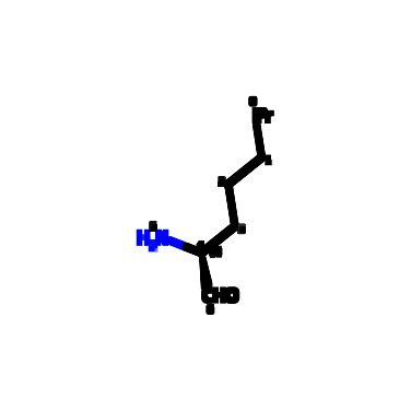 CC(C)CCC[C@H](N)C=O